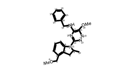 COCc1cccc2c1CC(C)N2c1nnc(OC)c(NCc2ccccc2)n1